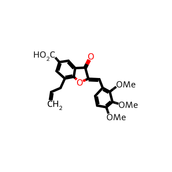 C=CCc1cc(C(=O)O)cc2c1OC(=Cc1ccc(OC)c(OC)c1OC)C2=O